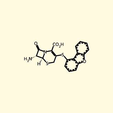 N[C@@H]1C(=O)N2C(C(=O)O)=C(Sc3cccc4oc5ccccc5c34)CS[C@@H]12